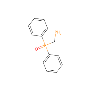 O=P(CP)(c1ccccc1)c1ccccc1